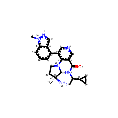 CC(NC(=O)c1cncc(-c2cccc3c2cnn3C)c1N1CC[C@](C)(N)C1)C1CC1